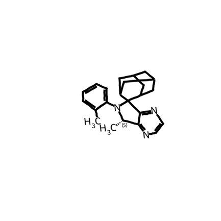 Cc1ccccc1N1[C@@H](C)c2nccnc2C12C1CC3CC(C1)CC2C3